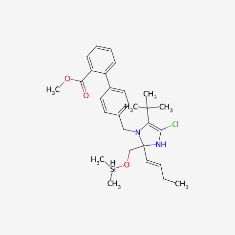 CCC=CC1(CO[SiH](C)C)NC(Cl)=C(C(C)(C)C)N1Cc1ccc(-c2ccccc2C(=O)OC)cc1